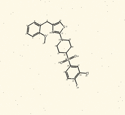 COc1ccccc1Cc1csc(N2CCC(S(=O)(=O)c3ccc(F)c(Cl)c3)CC2)n1